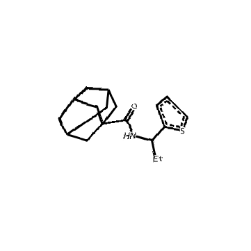 CCC(NC(=O)C12CC3CC(CC(C3)C1)C2)c1cccs1